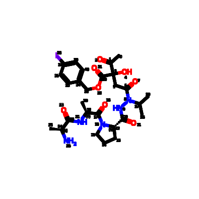 CC(=O)C(O)(CC(=O)N(NC(=O)[C@@H]1CCCN1C(=O)[C@H](C)NC(=O)[C@H](C)N)C(C)C)C(=O)OCc1ccc(I)cc1